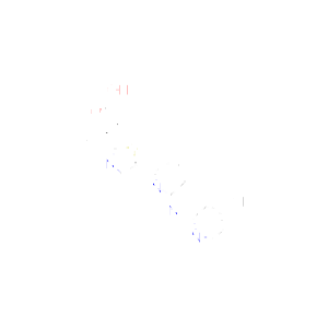 Cc1ccnc(Nc2cccc(-c3cnc(C(C)(O)C4(C(=O)O)CCCCC4)s3)n2)c1